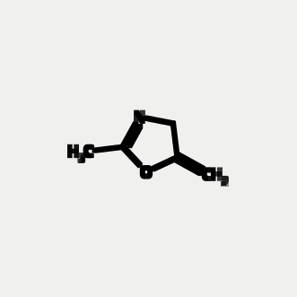 C=C1CN=C(C)O1